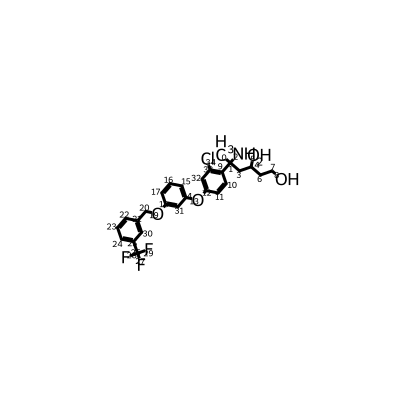 CC(N)(CC(O)CCO)c1ccc(Oc2cccc(OCc3cccc(C(F)(F)F)c3)c2)cc1Cl